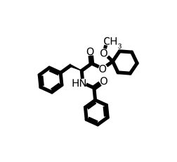 COC1(OC(=O)[C@H](Cc2ccccc2)NC(=O)c2ccccc2)CCCCC1